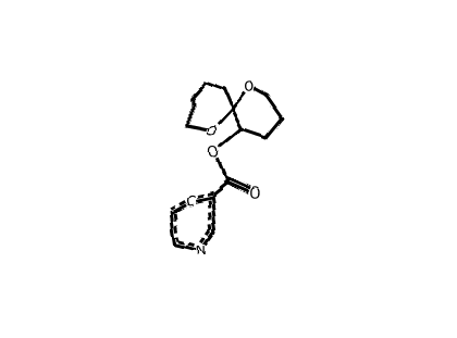 O=C(OC1CCCOC12CCCCO2)c1cccnc1